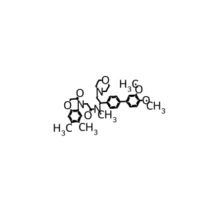 COc1ccc(-c2ccc(C(CN3CCOCC3)N(C)C(=O)CN3C(=O)COc4cc(C)c(C)cc43)cc2)cc1OC